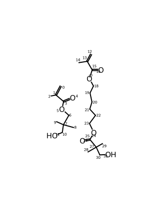 C=C(C)C(=O)OCC(C)(C)CO.C=C(C)C(=O)OCCCCCCOC(=O)C(C)(C)CO